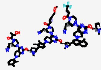 C=C(CO)C(=O)N1CCN(c2nc(OC[C@@H]3CC(c4ccc(N5CCc6c(nc(OC[C@@H]7CC(c8cc(N9CCc%10c(nc(OC[C@@H]%11CCCN%11C)nc%10N%10CCN(C(=O)/C=C/C(F)(F)F)[C@@H](CC#N)C%10)C9)c9c(C)cccc9c8)CN7C)nc6N6CCN(C(=O)/C=C/COC)[C@@H](CC#N)C6)C5)c(C)c4C)CN3C)nc3c2CCN(c2cccc(C)c2C)C3)C[C@@H]1CC#N